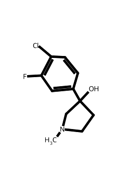 CN1CCC(O)(c2ccc(Cl)c(F)c2)C1